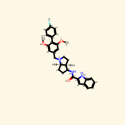 CCOc1cc(CN2CC[C@H]3C(NC(=O)c4cc5ccccc5[nH]4)CC[C@H]32)cc(OCC)c1-c1ccc(F)cc1